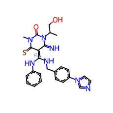 CC(CO)N1C(=N)/C(=C(\NCc2ccc(-n3ccnc3)cc2)Nc2ccccc2)C(=S)N(C)C1=O